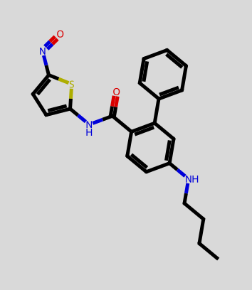 CCCCNc1ccc(C(=O)Nc2ccc(N=O)s2)c(-c2ccccc2)c1